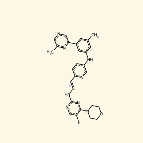 Cc1cc(Nc2ccc(/C=N/Nc3ncc(F)c(N4CCOCC4)n3)nc2)cc(-c2cncc(C)n2)c1